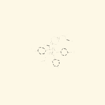 COc1ccc(C2(C(=O)N3CCN(CC(C)C=O)CC3)NC(c3ccc(Cl)cc3)C(c3ccc(Cl)cc3)N2)c(OC(C)C)c1